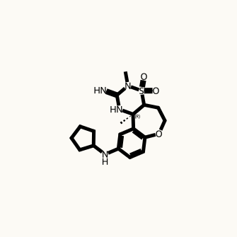 CN1C(=N)N[C@]2(C)c3cc(NC4CCCC4)ccc3OCCC2S1(=O)=O